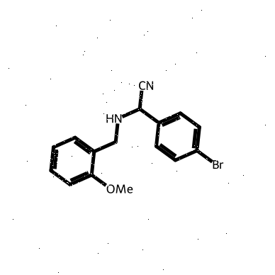 COc1ccccc1CNC(C#N)c1ccc(Br)cc1